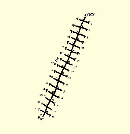 O=C([O-])C(F)(F)C(F)(F)C(F)(F)C(F)(F)C(F)(F)C(F)(F)C(F)(F)C(F)(F)C(F)(F)C(F)(F)C(F)(F)C(F)(F)C(F)(F)C(F)(F)C(F)(F)C(F)(F)C(F)(F)F.[K+]